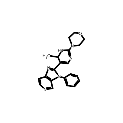 CC1BC(N2CCOCC2)=NC=C1c1nc2ccncc2n1-c1ccccc1